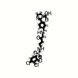 O=C(C=CCNCS(=O)(=O)c1ccc(Cl)c(Cl)c1Cl)CNCc1ccc(C2=NCCN2C(=O)O)cc1